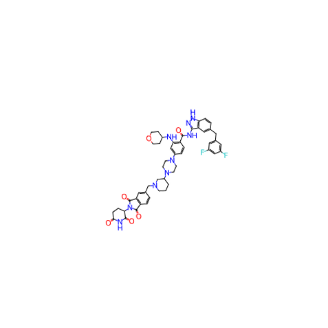 O=C1CCC(N2C(=O)c3ccc(CN4CCCC(N5CCN(c6ccc(C(=O)Nc7n[nH]c8ccc(Cc9cc(F)cc(F)c9)cc78)c(NC7CCOCC7)c6)CC5)C4)cc3C2=O)C(=O)N1